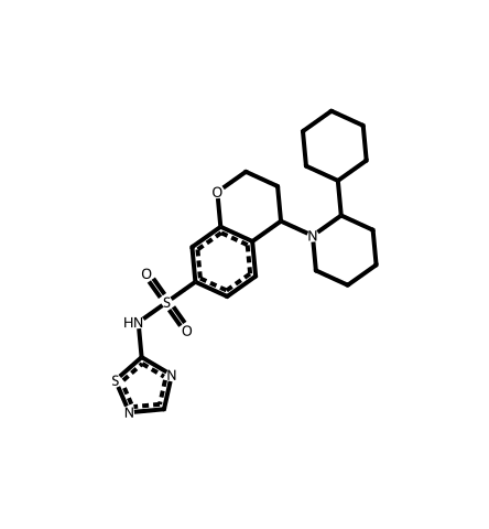 O=S(=O)(Nc1ncns1)c1ccc2c(c1)OCCC2N1CCCCC1C1CCCCC1